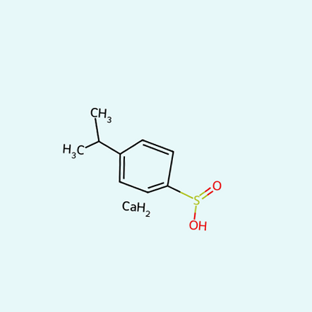 CC(C)c1ccc(S(=O)O)cc1.[CaH2]